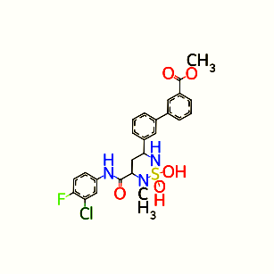 COC(=O)c1cccc(-c2cccc(C3CC(C(=O)Nc4ccc(F)c(Cl)c4)N(C)S(O)(O)N3)c2)c1